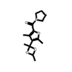 Cc1oc(C(=O)N2CCCC2)c(C)c1C1(C)OC(C)O1